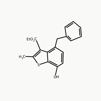 CCOC(=O)c1c(C)sc2c(O)ccc(Cc3ccccc3)c12